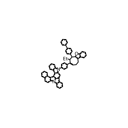 CCC1/C(c2ccc(-n3c4ccccc4c4c5c6c7ccccc7ccc6n6c7ccccc7c(cc43)c56)cc2)=C\CCc2c(oc3ccccc23)C1c1ccc(-c2ccccc2)cc1